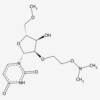 COC[C@H]1O[C@@H](n2ccc(=O)[nH]c2=O)[C@H](OCCON(C)C)[C@@H]1O